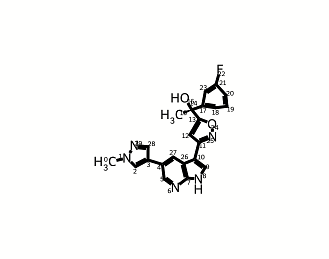 Cn1cc(-c2cnc3[nH]cc(-c4cc([C@](C)(O)c5cccc(F)c5)on4)c3c2)cn1